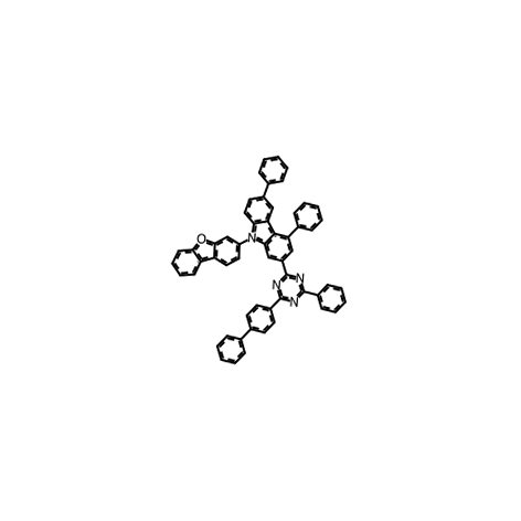 c1ccc(-c2ccc(-c3nc(-c4ccccc4)nc(-c4cc(-c5ccccc5)c5c6cc(-c7ccccc7)ccc6n(-c6ccc7c(c6)oc6ccccc67)c5c4)n3)cc2)cc1